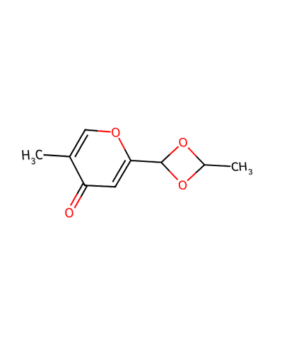 Cc1coc(C2OC(C)O2)cc1=O